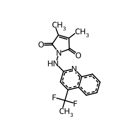 CC1=C(C)C(=O)N(Nc2cc(C(C)(F)F)c3ccccc3n2)C1=O